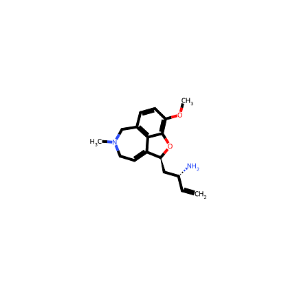 C=C[C@@H](N)C[C@@H]1Oc2c(OC)ccc3c2C1=CCN(C)C3